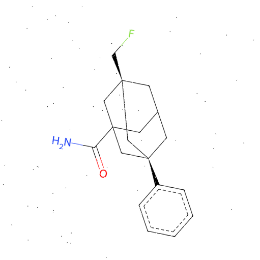 NC(=O)C12CC3C[C@@](CF)(C1)C[C@](c1ccccc1)(C3)C2